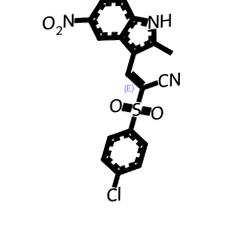 Cc1[nH]c2ccc([N+](=O)[O-])cc2c1/C=C(\C#N)S(=O)(=O)c1ccc(Cl)cc1